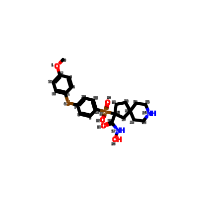 COc1ccc(Sc2ccc(S(=O)(=O)C3(C(=O)NO)CCC4(CCNCC4)C3)cc2)cc1